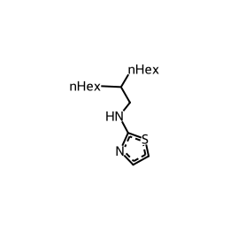 CCCCCCC(CCCCCC)CNc1nccs1